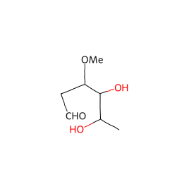 COC(CC=O)C(O)C(C)O